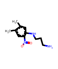 Cc1cc(NCCCN)c([N+](=O)[O-])cc1C